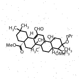 CCCOC1(C)CC[C@]2(C)C3CC(C=O)=C4[C@@H]5CC(C)(C)CC[C@]5(C(=O)OC)CC[C@@]4(C)[C@]3(C)CC[C@H]2[C@@]1(C)OC